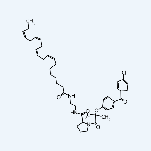 CC/C=C\C/C=C\C/C=C\C/C=C\C/C=C\CCCC(=O)NCCNC(=O)C1CCCN1C(=O)C(C)(C)Oc1ccc(C(=O)c2ccc(Cl)cc2)cc1